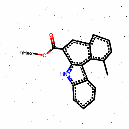 CCCCCCOC(=O)c1cc2cccc(C)c2c2c1[nH]c1ccccc12